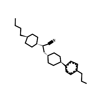 CCCC[C@H]1CC[C@H](C(C#N)C[C@H]2CC[C@H](c3ccc(CCC)cc3)CC2)CC1